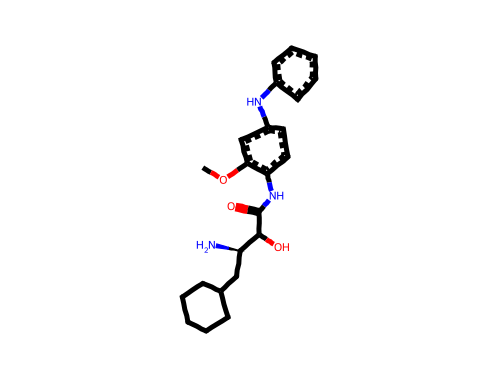 COc1cc(Nc2ccccc2)ccc1NC(=O)C(O)[C@H](N)CC1CCCCC1